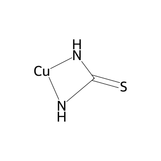 S=C1[NH][Cu][NH]1